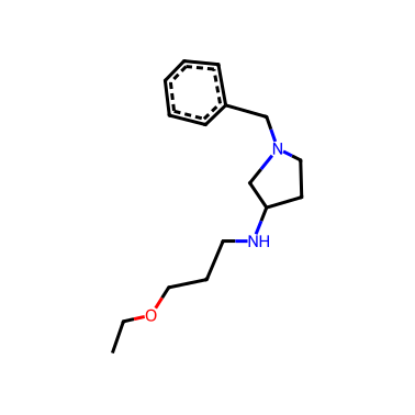 CCOCCCNC1CCN(Cc2ccccc2)C1